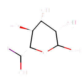 OC1O[C@H](C(O)I)[C@@H](O)[C@H](O)[C@@H]1O